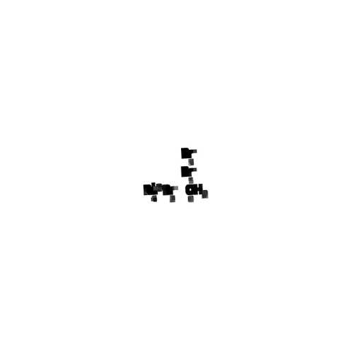 O.[Br-].[Br-].[Br-].[Ru+3]